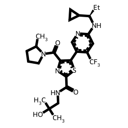 CC[C@@H](Nc1cc(C(F)(F)F)c(-c2sc(C(=O)NCC(C)(C)O)nc2C(=O)N2CCCC2C)cn1)C1CC1